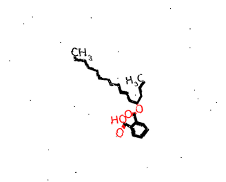 CCCCCCCCCCCCC(CCCC)OC(=O)c1ccccc1C(=O)O